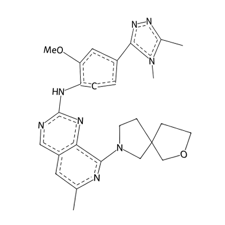 COc1cc(-c2nnc(C)n2C)ccc1Nc1ncc2cc(C)nc(N3CCC4(CCOC4)C3)c2n1